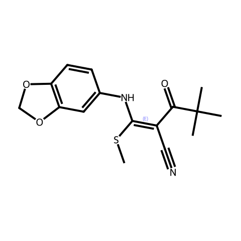 CS/C(Nc1ccc2c(c1)OCO2)=C(\C#N)C(=O)C(C)(C)C